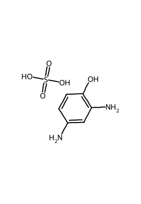 Nc1ccc(O)c(N)c1.O=S(=O)(O)O